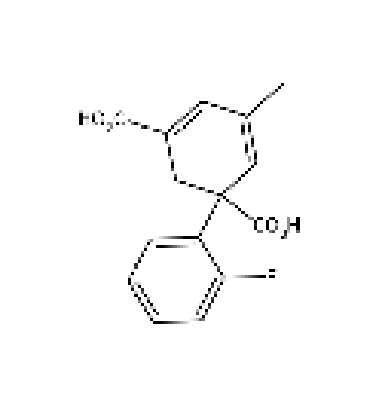 CC1=CC(C(=O)O)(c2ccccc2F)CC(C(=O)O)=C1